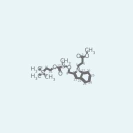 COC(=O)CCn1c(CON(C)C(=O)OCCS(C)(C)C)cc2ccccc21